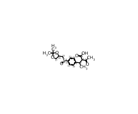 CC(=O)C(C(=O)O)C(C)c1ccc([S+]([O-])CC2COC(C)(C)O2)cc1